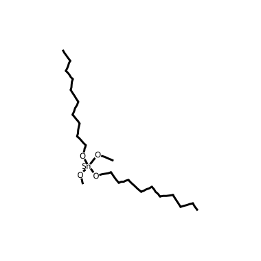 CCCCCCCCCC[O][Sn]([O]C)([O]C)[O]CCCCCCCCCC